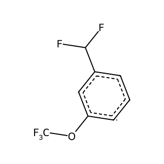 FC(F)c1cc[c]c(OC(F)(F)F)c1